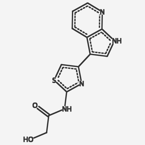 O=C(CO)Nc1nc(-c2c[nH]c3ncccc23)cs1